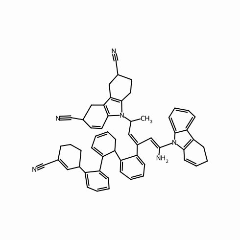 CC(/C=C(\C=C(/N)n1c2c(c3ccccc31)CCC=C2)c1ccccc1C1CC=CC=C1c1ccccc1C1C=C(C#N)CCC1)n1c2c(c3c1CCC(C#N)C3)CC(C#N)C=C2